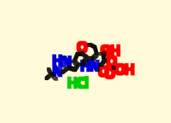 Cl.Cn1c(CNC(C)(C)C)cc2cc3c(cc21)OCCc1c-3[nH]c(=O)c(OC(=O)O)c1O